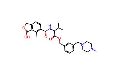 Cc1c(C(=O)NC(C(=O)OCc2cccc(CN3CCN(C)CC3)c2)C(C)C)ccc2c1B(O)OC2